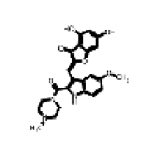 COc1ccc2[nH]c(C(=O)N3CCN(C)CC3)c(/C=C3\Oc4cc(O)cc(O)c4C3=O)c2c1